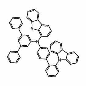 c1ccc(-c2cc(-c3ccccc3)cc(N(c3ccc(-c4ccccc4-n4c5ccccc5c5ccccc54)cc3)c3cccc4c3sc3ccccc34)c2)cc1